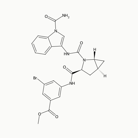 COC(=O)c1cc(Br)cc(NC(=O)[C@@H]2C[C@@H]3C[C@H]3N2C(=O)Nc2cn(C(N)=O)c3ccccc23)c1